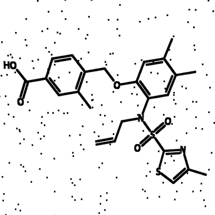 C=CCN(c1cc(C)c(C)cc1OCc1ccc(C(=O)O)cc1C)S(=O)(=O)c1nc(C)cs1